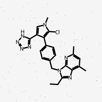 CCc1nc2c(C)cc(C)nc2n1Cc1ccc(-c2c(-c3nnn[nH]3)cn(C)c2Cl)cc1